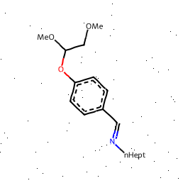 CCCCCCCN=Cc1ccc(OC(COC)OC)cc1